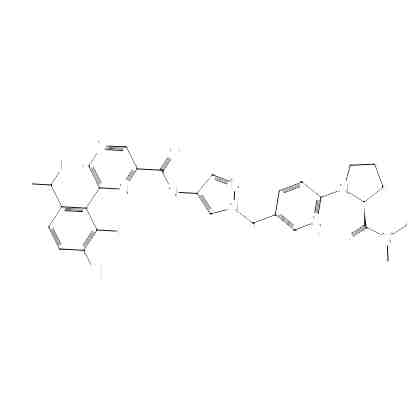 CN(C)C(=O)[C@@H]1CCCN1c1ccc(Cn2cc(NC(=O)c3cncc(-c4c(C(F)F)ccc(Cl)c4F)n3)cn2)cn1